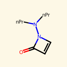 CCCN(CCC)N1C=CC1=O